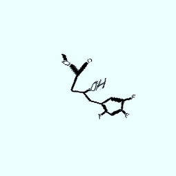 COC(=O)CC(O)Cc1cc(F)c(F)cc1F